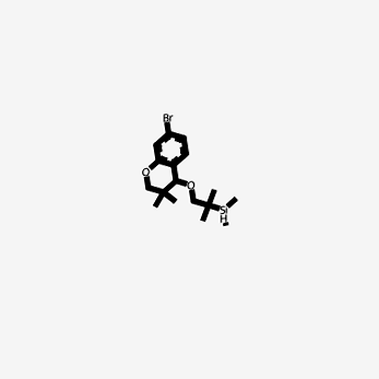 C[SiH](C)C(C)(C)COC1c2ccc(Br)cc2OCC1(C)C